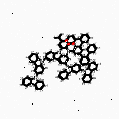 CC(C)c1cc2c3c(c1)-n1c4ccc(-n5c6ccccc6c6cc(-n7c8ccccc8c8ccccc87)ccc65)cc4c4cc(-n5c6ccccc6c6cc(-n7c8ccccc8c8ccccc87)ccc65)cc(c41)B3c1cc(-c3ccccc3-c3ccccc3)cc(-c3ccccc3-c3ccccc3)c1O2